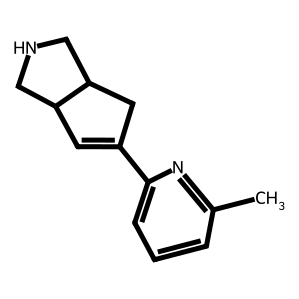 Cc1cccc(C2=CC3CNCC3C2)n1